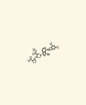 COC(=O)[C@@H]1CCCN1C[C@@H]1CC[C@@H](c2nc(Br)c3c(NCc4ccc(OC)cc4OC)nccn23)CN1C(=O)OC(C)(C)C